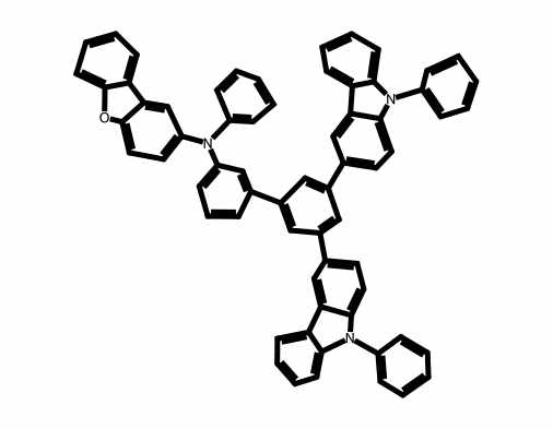 c1ccc(N(c2cccc(-c3cc(-c4ccc5c(c4)c4ccccc4n5-c4ccccc4)cc(-c4ccc5c(c4)c4ccccc4n5-c4ccccc4)c3)c2)c2ccc3oc4ccccc4c3c2)cc1